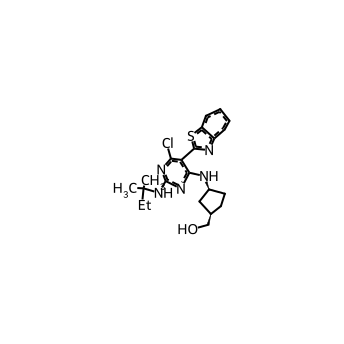 CCC(C)(C)Nc1nc(Cl)c(-c2nc3ccccc3s2)c(N[C@H]2CC[C@@H](CO)C2)n1